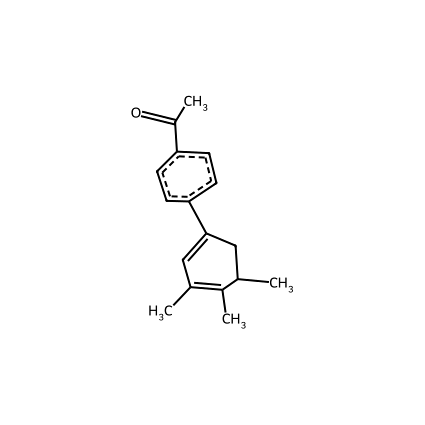 CC(=O)c1ccc(C2=CC(C)=C(C)C(C)C2)cc1